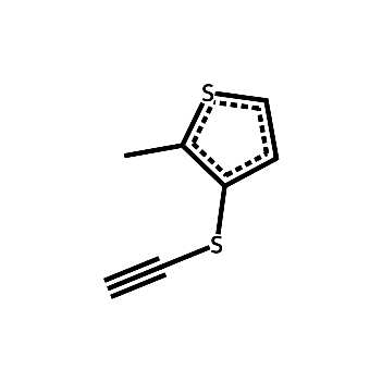 C#CSc1ccsc1C